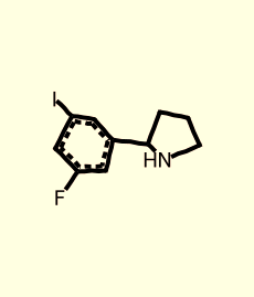 Fc1cc(I)cc(C2CCCN2)c1